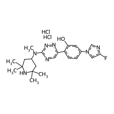 CN(c1ncc(-c2ccc(-n3cnc(F)c3)cc2O)nn1)C1CC(C)(C)NC(C)(C)C1.Cl.Cl